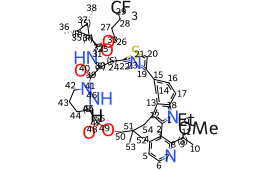 CCn1c(-c2cccnc2[C@H](C)OC)c2c3cc(ccc31)-c1csc(n1)[C@@H](OCCCC(F)(F)F)[C@H](NC(=O)[C@H]1[C@H](C)[C@@H]1C)C(=O)N1CCC[C@H](N1)C(=O)OCC(C)(C)C2